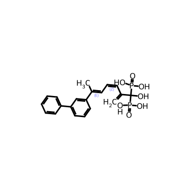 C=C(/C=C\C=C(/C)c1cccc(-c2ccccc2)c1)C(O)(P(=O)(O)O)P(=O)(O)O